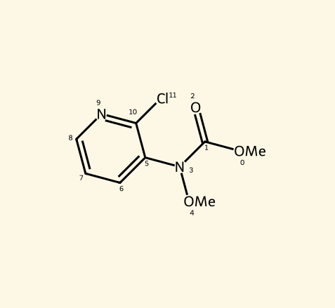 COC(=O)N(OC)c1cccnc1Cl